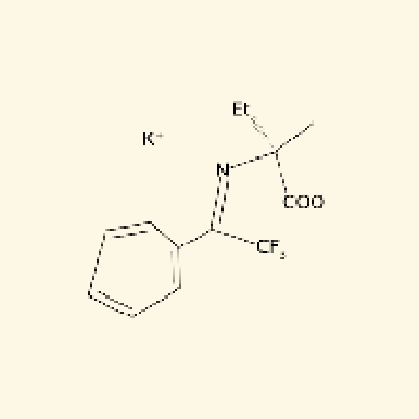 CC[C@@](C)(N=C(c1ccccc1)C(F)(F)F)C(=O)[O-].[K+]